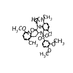 COc1ccc(C)c(CC(C(=O)NC2CC2)N(c2cc(N(C)C)ccc2Cl)S(=O)(=O)c2ccc(OC)c(OC)c2)n1